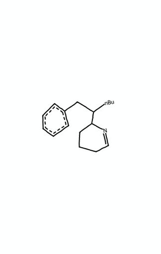 CCCCC(Cc1ccccc1)C1CCCC=N1